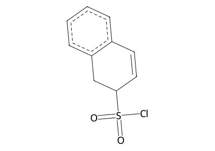 O=S(=O)(Cl)C1C=Cc2ccccc2C1